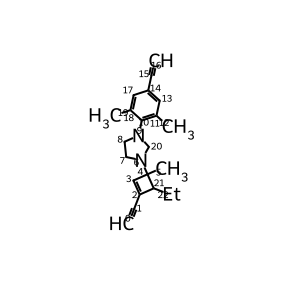 C#CC1=CC(C)(N2CCN(c3c(C)cc(C#C)cc3C)C2)C1CC